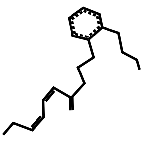 C=C(/C=C\C=C/CC)CCCc1ccccc1CCCC